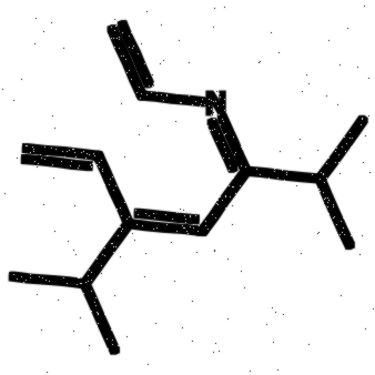 C=C/N=C(\C=C(/C=C)C(C)C)C(C)C